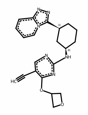 C#Cc1cnc(N[C@@H]2CCC[C@H](c3nnc4ccccn34)C2)nc1OC1COC1